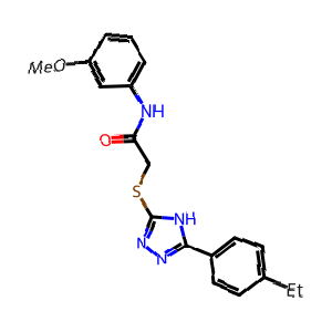 CCc1ccc(-c2nnc(SCC(=O)Nc3cccc(OC)c3)[nH]2)cc1